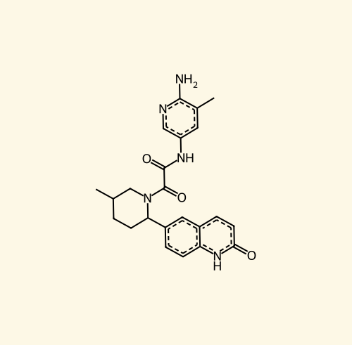 Cc1cc(NC(=O)C(=O)N2CC(C)CCC2c2ccc3[nH]c(=O)ccc3c2)cnc1N